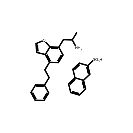 CC(N)Cc1ccc(CCc2ccccc2)c2ccoc12.O=S(=O)(O)c1ccc2ccccc2c1